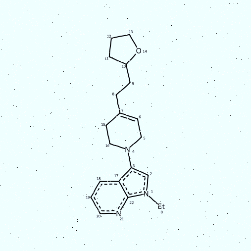 CCn1cc(N2CC=C(CCC3CCCO3)CC2)c2cccnc21